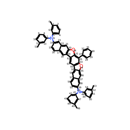 Cc1cccc(N(c2cccc(C)c2)c2ccc3cc4c(cc3c2)oc2c(-c3ccccc3)c3oc5cc6cc(N(c7cccc(C)c7)c7cccc(C)c7)ccc6cc5c3cc24)c1